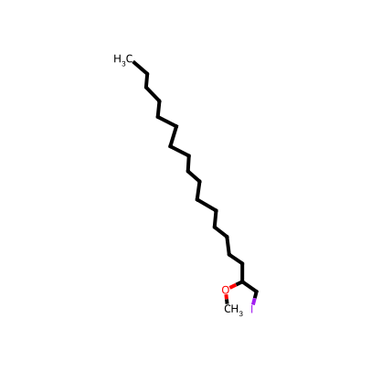 CCCCCCCCCCCCCCCCC(CI)OC